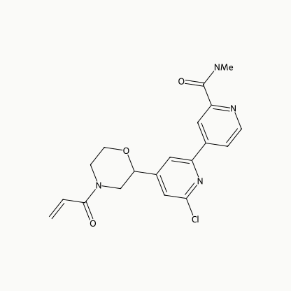 C=CC(=O)N1CCOC(c2cc(Cl)nc(-c3ccnc(C(=O)NC)c3)c2)C1